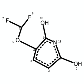 Oc1ccc(OC(F)F)c(O)n1